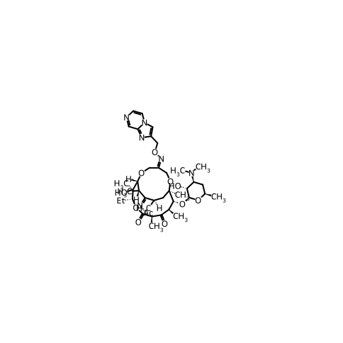 CC[C@H]1OC(=O)[C@H](C)C(=O)[C@H](C)[C@@H](O[C@@H]2O[C@H](C)C[C@H](N(C)C)[C@H]2O)[C@@]2(C)C[C@@H](C)/C(=N\C(C)=O)[C@H](C)[C@@H](OC/C(=N\OCc3cn4ccncc4n3)CO2)[C@]1(C)O